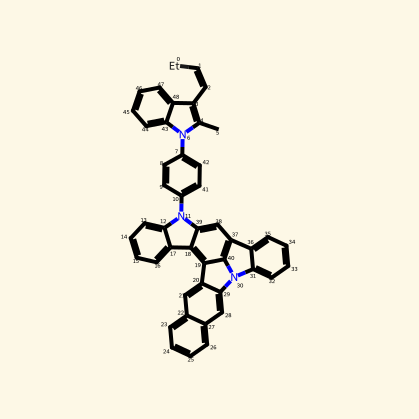 CC/C=C\c1c(C)n(-c2ccc(-n3c4ccccc4c4c5c6cc7ccccc7cc6n6c7ccccc7c(cc43)c56)cc2)c2ccccc12